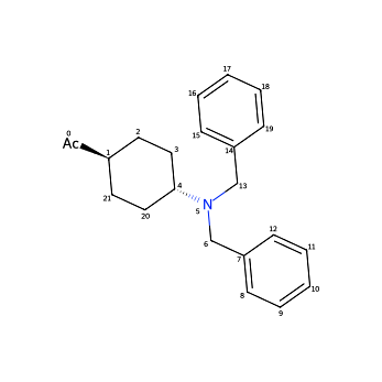 CC(=O)[C@H]1CC[C@H](N(Cc2ccccc2)Cc2ccccc2)CC1